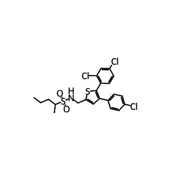 CCCC(C)S(=O)(=O)NCc1cc(-c2ccc(Cl)cc2)c(-c2ccc(Cl)cc2Cl)s1